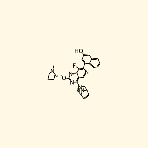 CN1CCC[C@H]1COc1nc(N2CC3C=CC(C2)N3)c2cnc(-c3cc(O)cc4ccccc34)c(F)c2n1